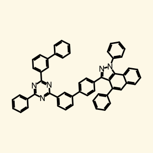 c1ccc(-c2cccc(-c3nc(-c4ccccc4)nc(-c4cccc(-c5ccc(-c6nn(-c7ccccc7)c7c6c(-c6ccccc6)cc6ccccc67)cc5)c4)n3)c2)cc1